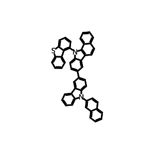 c1ccc2cc(-n3c4ccccc4c4cc(-c5ccc6c(c5)c5ccc7ccccc7c5n6-c5cccc6sc7ccccc7c56)ccc43)ccc2c1